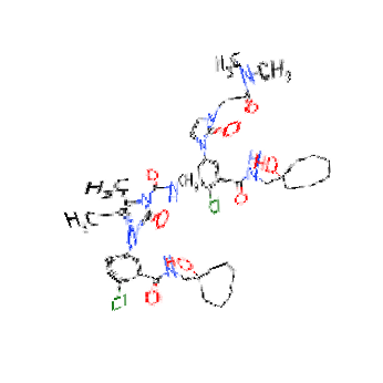 CN(C)C(=O)Cn1ccn(-c2ccc(Cl)c(C(=O)NCC3(O)CCCCCC3)c2)c1=O.CNC(=O)n1c(C)c(C)n(-c2ccc(Cl)c(C(=O)NCC3(O)CCCCCC3)c2)c1=O